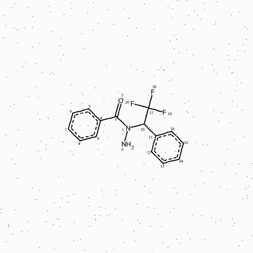 NN(C(=O)c1ccccc1)C(c1ccccc1)C(F)(F)F